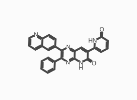 O=c1cccc(-c2cc3nc(-c4ccc5ncccc5c4)c(-c4ccccc4)nc3[nH]c2=O)[nH]1